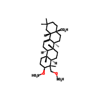 CC1(C)CC[C@]2(C(=O)O)CC[C@]3(C)C(=CC[C@@H]4[C@@]5(C)CC[C@H](OS(=O)(=O)O)C(C)(COS(=O)(=O)O)[C@@H]5CC[C@]43C)[C@@H]2C1